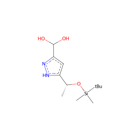 C[C@@H](O[Si](C)(C)C(C)(C)C)c1cc(C(O)O)n[nH]1